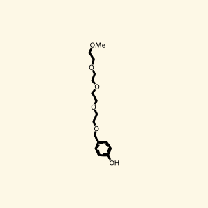 COCCOCCOCCOCCOCc1ccc(O)cc1